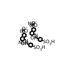 O=S(=O)([O-])c1ccc2c(/N=N/c3ccc(S(=O)(=O)O)cc3)c(O)ccc2c1.O=S(=O)([O-])c1ccc2c(/N=N/c3ccc(S(=O)(=O)O)cc3)c(O)ccc2c1.[Na+].[Na+]